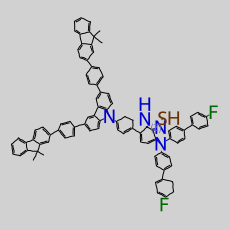 CC1(C)c2ccccc2-c2ccc(-c3ccc(-c4ccc5c(c4)c4cc(-c6ccc(-c7ccc8c(c7)C(C)(C)c7ccccc7-8)cc6)ccc4n5C4=CC=C(C5=CC=C(N(c6ccc(C7=CC=C(F)CC7)cc6)c6ccc(-c7ccc(F)cc7)cc6)/C(=N/S)C5=N)CC4)cc3)cc21